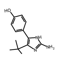 CC(C)(C)c1nc(N)[nH]c1-c1ccc(O)cc1